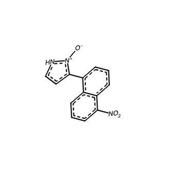 O=[N+]([O-])c1cccc2c(-c3cc[nH][n+]3[O-])cccc12